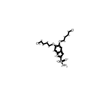 NS(=O)(=O)c1cc2cc(OCCCCCl)c(OCCCCCl)cc2s1